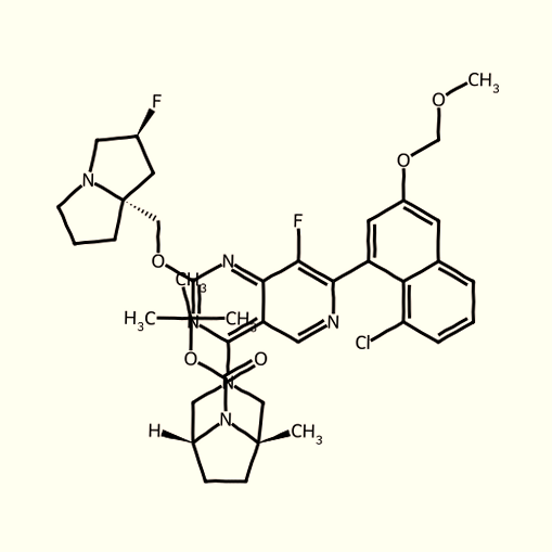 COCOc1cc(-c2ncc3c(N4C[C@H]5CC[C@@](C)(C4)N5C(=O)OC(C)(C)C)nc(OC[C@]45CCCN4C[C@@H](F)C5)nc3c2F)c2c(Cl)cccc2c1